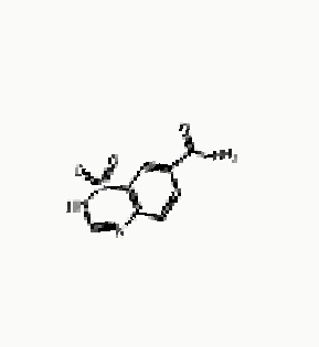 NC(=O)c1ccc2c(c1)S(=O)(=O)NC=N2